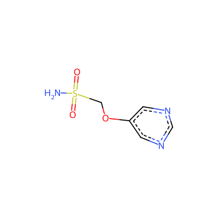 NS(=O)(=O)COc1cncnc1